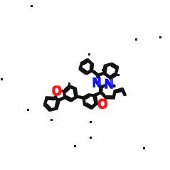 C\C=C/C=c1/oc2ccc(-c3ccc4oc5ccccc5c4c3)cc2/c1=C1\N=C(c2ccccc2)c2ccccc2N1C